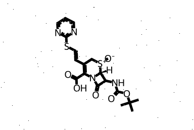 CC(C)(C)OC(=O)NC1C(=O)N2C(C(=O)O)=C(/C=C/Sc3ncccn3)C[S+]([O-])[C@H]12